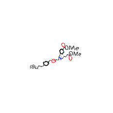 COC(=O)CCCCN(CCOCc1ccc(CCC(C)(C)C)cc1)Cc1ccc(C(=O)OC)cc1